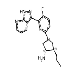 CCC[C@@H]1CN(c2ccc(F)c(-c3n[nH]c4ncccc34)n2)C[C@H]1N